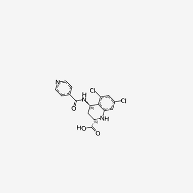 O=C(N[C@@H]1C[C@@H](C(=O)O)Nc2cc(Cl)cc(Cl)c21)c1ccncc1